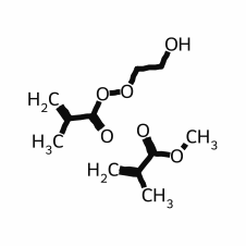 C=C(C)C(=O)OC.C=C(C)C(=O)OOCCO